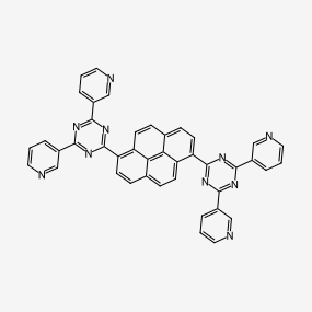 c1cncc(-c2nc(-c3cccnc3)nc(-c3ccc4ccc5c(-c6nc(-c7cccnc7)nc(-c7cccnc7)n6)ccc6ccc3c4c65)n2)c1